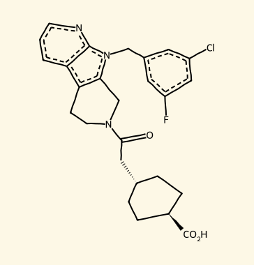 O=C(C[C@H]1CC[C@H](C(=O)O)CC1)N1CCc2c(n(Cc3cc(F)cc(Cl)c3)c3ncccc23)C1